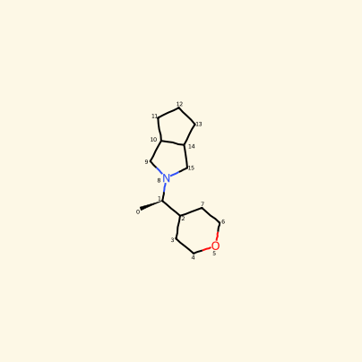 C[C@H](C1CCOCC1)N1CC2CCCC2C1